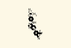 CC(C)Oc1ccc(Nc2ncnc3c2CCN(c2ccc(C#N)c(C(F)(F)F)c2)C3)cc1